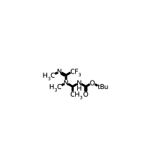 C/N=C(\N(C)C(C)NC(=O)OC(C)(C)C)C(F)(F)F